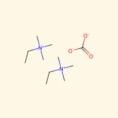 CC[N+](C)(C)C.CC[N+](C)(C)C.O=C([O-])[O-]